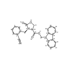 N#Cc1ccccc1C[C@H]1C(=O)OCN1C(=O)OCC1c2ccccc2-c2ccccc21